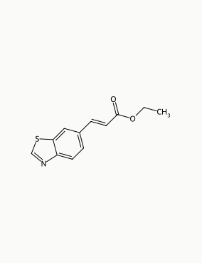 CCOC(=O)/C=C/c1ccc2ncsc2c1